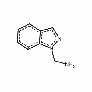 NCn1ncc2ccccc21